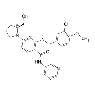 COc1ccc(CNc2nc(N3CCC[C@H]3CO)ncc2C(=O)Nc2cncnc2)cc1Cl